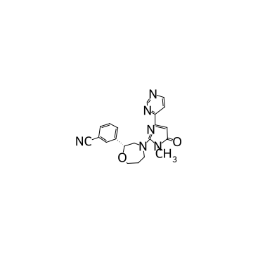 Cn1c(N2CCCO[C@H](c3cccc(C#N)c3)C2)nc(-c2ccncn2)cc1=O